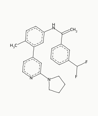 C=C(Nc1ccc(C)c(-c2ccnc(N3CCCC3)c2)c1)c1cccc(C(F)F)c1